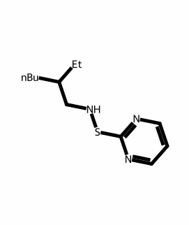 CCCCC(CC)CNSc1ncccn1